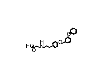 O=C(O)CCNCCCc1ccc(OCc2cccc(Oc3ccccc3)c2)cc1